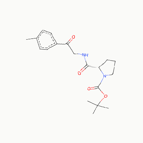 Cc1ccc(C(=O)CNC(=O)[C@@H]2CCCN2C(=O)OC(C)(C)C)cc1